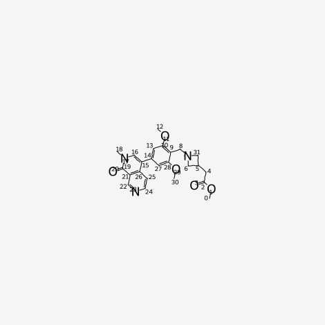 COC(=O)CC1CN(Cc2c(OC)cc(-c3cn(C)c(=O)c4cnccc34)cc2OC)C1